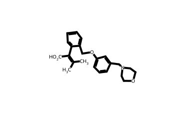 CC(C)=C(C(=O)O)c1ccccc1COc1cccc(CN2CCOCC2)c1